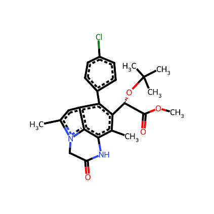 COC(=O)[C@@H](OC(C)(C)C)c1c(C)c2c3c(cc(C)n3CC(=O)N2)c1-c1ccc(Cl)cc1